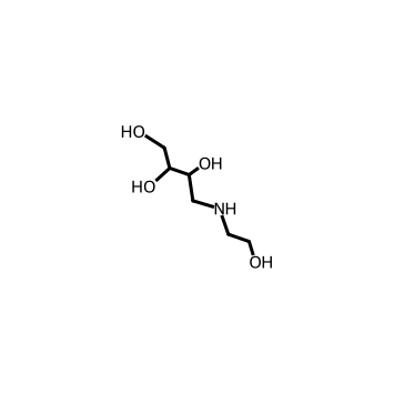 OCCNCC(O)C(O)CO